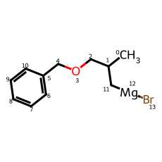 CC(COCc1ccccc1)[CH2][Mg][Br]